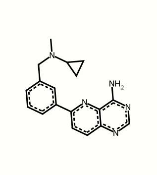 CN(Cc1cccc(-c2ccc3ncnc(N)c3n2)c1)C1CC1